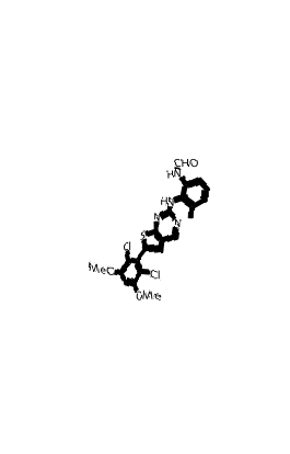 COc1cc(OC)c(Cl)c(-c2cc3cnc(Nc4c(C)cccc4NC=O)nc3s2)c1Cl